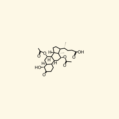 CC(=O)O[C@H]1C[C@H]2[C@@H]([C@H](OC(C)=O)C[C@@H]3[C@H](O)C(=O)CC[C@@]32C)[C@@H]2CCC([C@H](C)CCC(=O)O)[C@@]12C